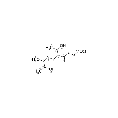 [CH2]C(NCC(NCCCCCCCCCC)C(C)O)C(C)O